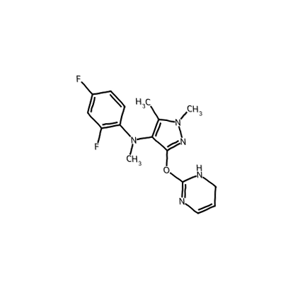 Cc1c(N(C)c2ccc(F)cc2F)c(OC2=NC=CCN2)nn1C